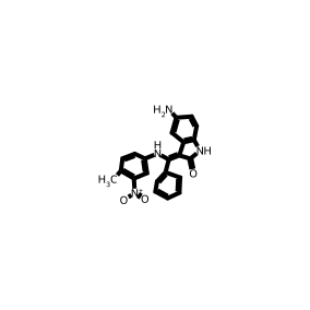 Cc1ccc(NC(=C2C(=O)Nc3ccc(N)cc32)c2ccccc2)cc1[N+](=O)[O-]